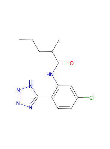 CCCC(C)C(=O)Nc1cc(Cl)ccc1-c1nnn[nH]1